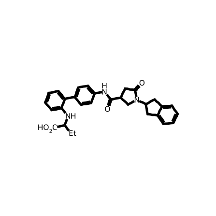 CCC(Nc1ccccc1-c1ccc(NC(=O)C2CC(=O)N(C3Cc4ccccc4C3)C2)cc1)C(=O)O